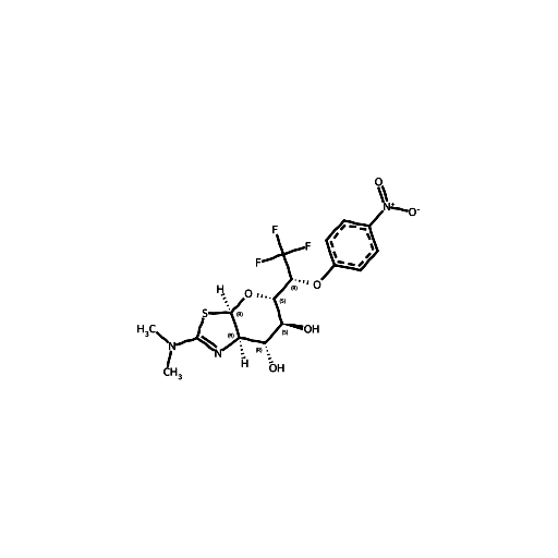 CN(C)C1=N[C@@H]2[C@@H](O)[C@H](O)[C@@H]([C@@H](Oc3ccc([N+](=O)[O-])cc3)C(F)(F)F)O[C@@H]2S1